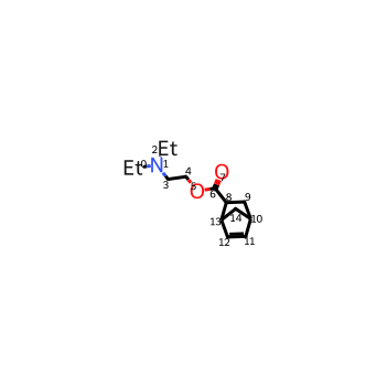 CCN(CC)CCOC(=O)C1CC2C=CC1C2